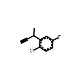 C#C[C](C)c1cc(F)ccc1Cl